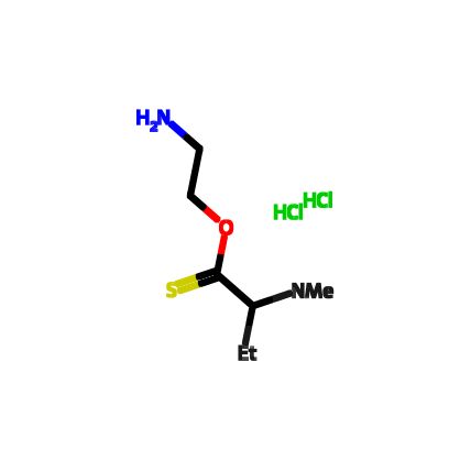 CCC(NC)C(=S)OCCN.Cl.Cl